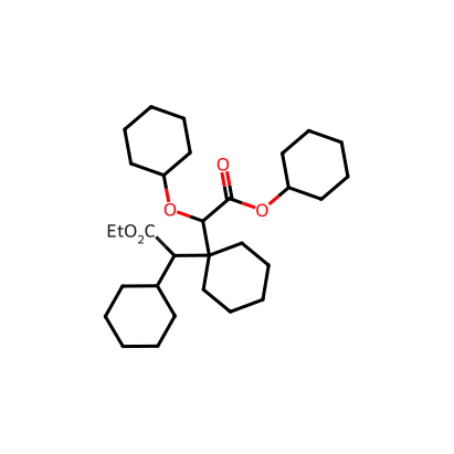 CCOC(=O)C(C1CCCCC1)C1(C(OC2CCCCC2)C(=O)OC2CCCCC2)CCCCC1